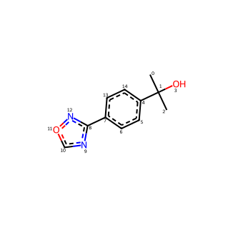 CC(C)(O)c1ccc(-c2ncon2)cc1